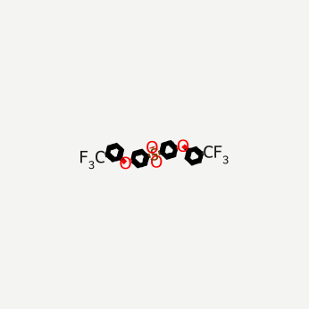 O=S(=O)(c1ccc(Oc2cccc(C(F)(F)F)c2)cc1)c1ccc(Oc2cccc(C(F)(F)F)c2)cc1